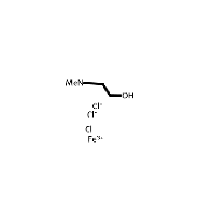 CNCCO.[Cl-].[Cl-].[Cl-].[Fe+3]